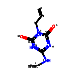 C=CCn1c(=O)nc(NCCCCC)[nH]c1=O